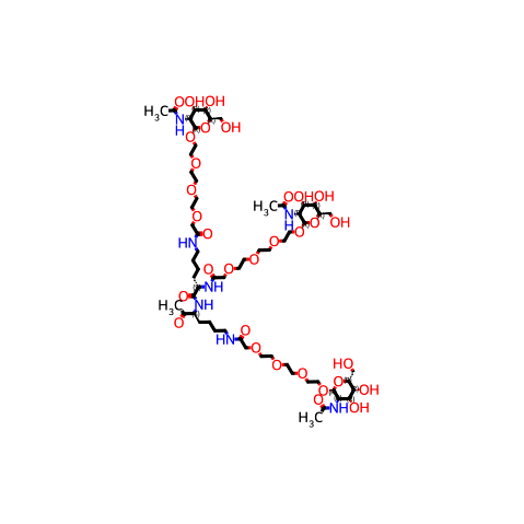 CC(=O)N[C@H]1[C@H](OCCOCCOCCOCC(=O)NCCCC[C@H](NC(=O)[C@H](CCCCNC(=O)COCCOCCOCCO[C@@H]2O[C@H](CO)[C@H](O)[C@H](O)[C@H]2NC(C)=O)NC(=O)COCCOCCOCCO[C@@H]2O[C@H](CO)[C@H](O)[C@H](O)[C@H]2NC(C)=O)C(C)=O)O[C@H](CO)[C@H](O)[C@@H]1O